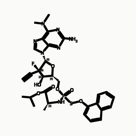 C#C[C@@]1(F)[C@H](O)[C@@H](COP(=O)(N[C@H](C)C(=O)OC(C)C)SOc2cccc3ccccc23)O[C@H]1n1cnc2c(N(C)C)nc(N)nc21